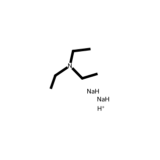 CCN(CC)CC.[H+].[NaH].[NaH]